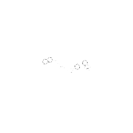 O=C(CCC(=O)c1ccc2ccccc2c1)NC[C@H]1CN(c2ccc(-c3cccc4[nH]nnc34)c(F)c2)C(=O)O1